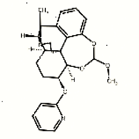 COC1Oc2cccc3c2[C@]24CCN(C)[C@H](C3)[C@@H]2CC[C@H](Oc2ccccn2)[C@@H]4O1